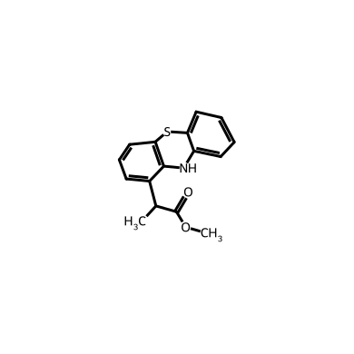 COC(=O)C(C)c1cccc2c1Nc1ccccc1S2